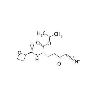 CC(C)OC(=O)[C@H](CCC(=O)C=[N+]=[N-])NC(=O)[C@H]1CCO1